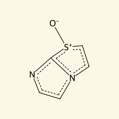 [O-][s+]1ccn2ccnc21